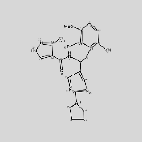 COc1ccc(C#N)c(CC(NC(=O)c2c[nH]nc2C(F)(F)F)c2cnc(N3CCCC3)nc2)c1F